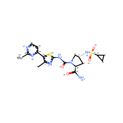 Cc1nc(NC(=O)N2C[C@H](NS(=O)(=O)C3CC3)C[C@H]2C(N)=O)sc1-c1ccnc(C(C)(C)C)n1